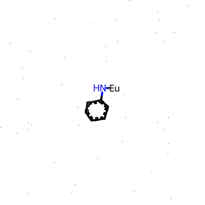 [Eu][NH]c1ccccc1